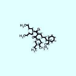 CCCCN(CCCC)C(=O)C(CCCC[N+]1(CC)CCCCC1)C(=O)N(CCCC)CCCC